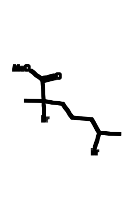 COC(=O)C(C)(Br)CCCC(C)Br